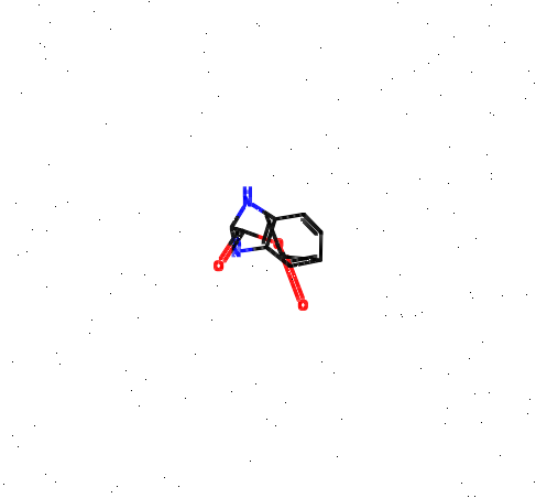 O=C1OC(=O)c2nc3cc1ccc3[nH]2